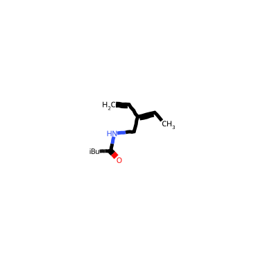 C=C/C(=C/C)CNC(=O)C(C)CC